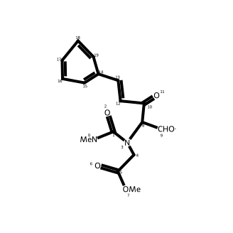 CNC(=O)N(CC(=O)OC)C([C]=O)C(=O)C=Cc1ccccc1